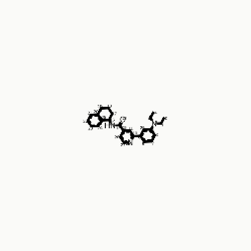 CCN(CC)c1cccc(-c2cc(C(=O)NC3CCCc4ccccc43)ccn2)c1